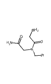 BCC(=O)N(CC(N)=O)CC(C)C